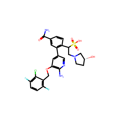 NC(=O)c1ccc(C(CN2CC[C@@H](O)C2)S(=O)(=O)O)c(-c2cnc(N)c(OCc3c(F)ccc(F)c3Cl)c2)c1